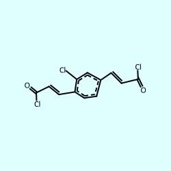 O=C(Cl)C=Cc1ccc(C=CC(=O)Cl)c(Cl)c1